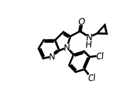 O=C(NC1CC1)c1cc2cccnc2n1-c1ccc(Cl)c(Cl)c1